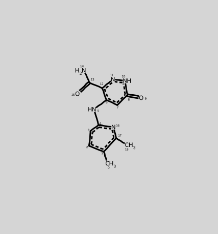 Cc1ccc(Nc2cc(=O)[nH]nc2C(N)=O)nc1C